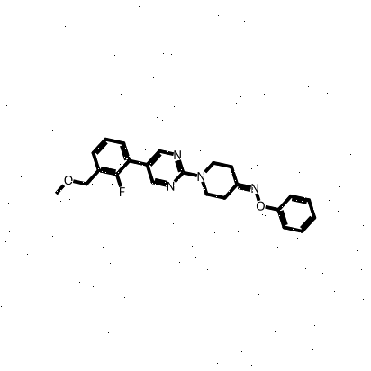 COCc1cccc(-c2cnc(N3CCC(=NOc4ccccc4)CC3)nc2)c1F